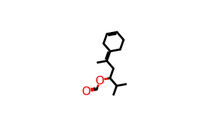 CC(CC(OC=O)C(C)C)=C1CC=CCC1